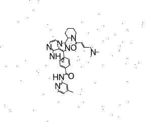 Cc1ccnc(NC(=O)c2ccc(-c3nc(C4CCCCN4C(=O)/C=C/CN(C)C)n4ccnc(N)c34)cc2)c1